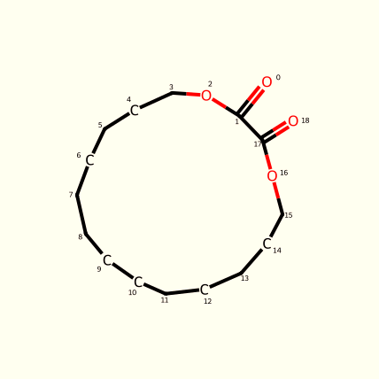 O=C1OCCCCCCCCCCCCCOC1=O